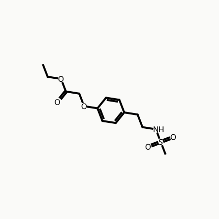 CCOC(=O)COc1ccc(CCNS(C)(=O)=O)cc1